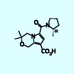 C[C@H]1CCCN1C(=O)c1cc(C(=O)O)c2n1CC(C)(C)OC2